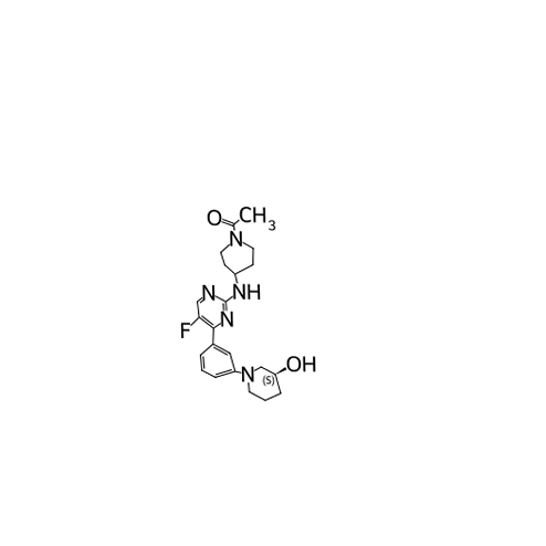 CC(=O)N1CCC(Nc2ncc(F)c(-c3cccc(N4CCC[C@H](O)C4)c3)n2)CC1